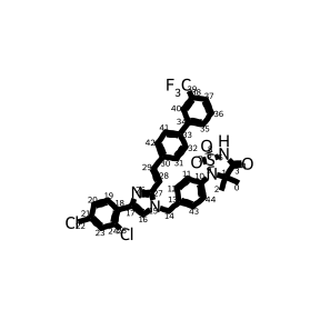 CC1(C)C(=O)NS(=O)(=O)N1c1ccc(Cn2cc(-c3ccc(Cl)cc3Cl)nc2C=Cc2ccc(-c3cccc(C(F)(F)F)c3)cc2)cc1